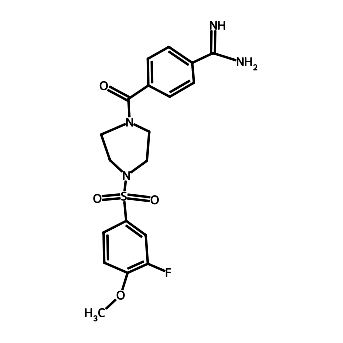 COc1ccc(S(=O)(=O)N2CCN(C(=O)c3ccc(C(=N)N)cc3)CC2)cc1F